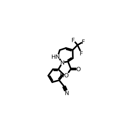 N#Cc1cccc(N2NCC=C(C(F)(F)F)C=C2C(=O)O)c1